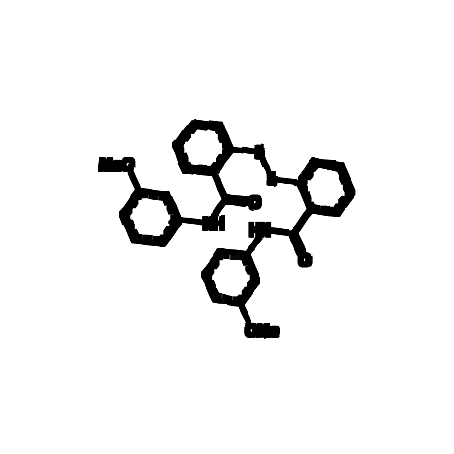 COc1cccc(NC(=O)c2ccccc2SSc2ccccc2C(=O)Nc2cccc(OC)c2)c1